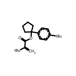 C=C(C(=O)OC1(c2ccc(C(C)(C)C)cc2)CCCC1)C(C)(C)C